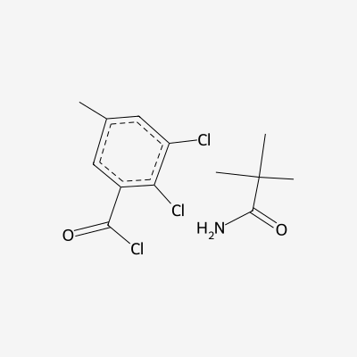 CC(C)(C)C(N)=O.Cc1cc(Cl)c(Cl)c(C(=O)Cl)c1